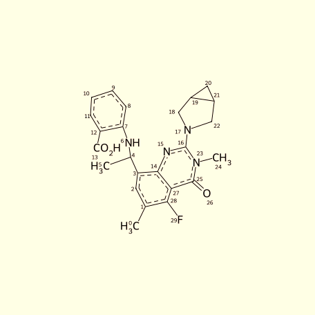 Cc1cc(C(C)Nc2ccccc2C(=O)O)c2nc(N3CC4CC4C3)n(C)c(=O)c2c1F